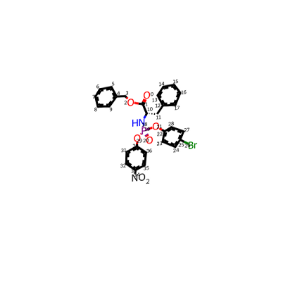 O=C(OCc1ccccc1)[C@H](Cc1ccccc1)NP(=O)(Oc1ccc(Br)cc1)Oc1ccc([N+](=O)[O-])cc1